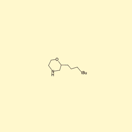 CC(C)(C)CCCC1CNCCO1